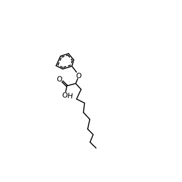 CCCCCCCCCC(Oc1ccccc1)C(=O)O